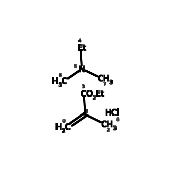 C=C(C)C(=O)OCC.CCN(C)C.Cl